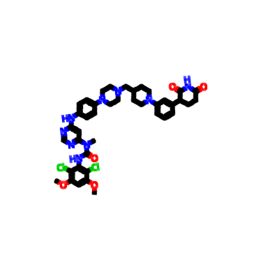 COc1cc(OC)c(Cl)c(NC(=O)N(C)c2cc(Nc3ccc(N4CCN(CC5CCN(c6cccc(C7CCC(=O)NC7=O)c6)CC5)CC4)cc3)ncn2)c1Cl